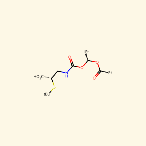 CCC(=O)O[C@@H](OC(=O)NC[C@H](SC(C)(C)C)C(=O)O)C(C)C